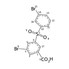 O=C(O)c1cc(Br)cc(S(=O)(=O)c2cccc(Br)c2)c1